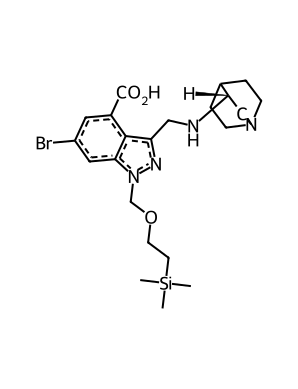 C[Si](C)(C)CCOCn1nc(CN[C@H]2CN3CCC2CC3)c2c(C(=O)O)cc(Br)cc21